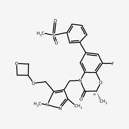 Cc1nn(C)c(COC2COC2)c1CN1C(=O)[C@@H](C)Oc2c(F)cc(-c3cccc(S(C)(=O)=O)c3)cc21